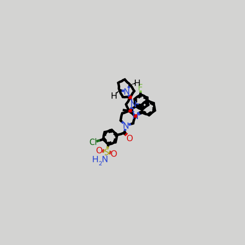 Cc1nc2ccccc2n1[C@H]1C[C@H]2CC[C@@H](C1)N2CCC1(c2cccc(F)c2)CCN(C(=O)c2ccc(Cl)c(S(N)(=O)=O)c2)CC1